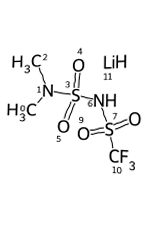 CN(C)S(=O)(=O)NS(=O)(=O)C(F)(F)F.[LiH]